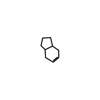 C1=CCC2CCCC2C1